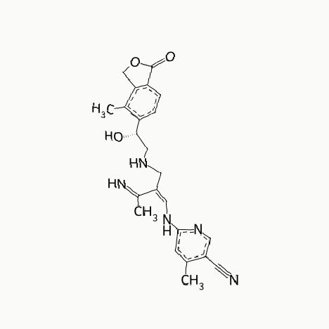 CC(=N)/C(=C\Nc1cc(C)c(C#N)cn1)CNC[C@H](O)c1ccc2c(c1C)COC2=O